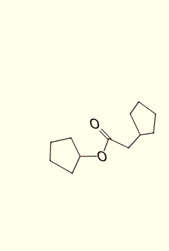 O=C(CC1CCCC1)OC1CCCC1